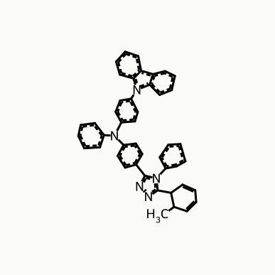 CC1C=CC=CC1c1nnc(-c2ccc(N(c3ccccc3)c3ccc(-n4c5ccccc5c5ccccc54)cc3)cc2)n1-c1ccccc1